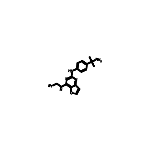 CC(C)CNc1nc(Nc2ccc(C(C)(C)N)cc2)nc2ccoc12